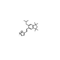 CC(C)Cc1cc2c(cc1C=Cc1ccno1)C(C)(C)CC2(C)C